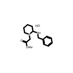 COC(=O)CN1CCCCC1NCc1ccccc1.Cl